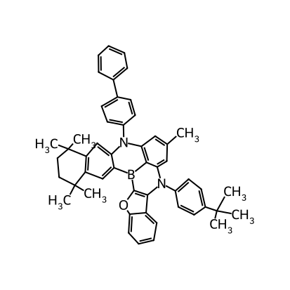 Cc1cc2c3c(c1)N(c1ccc(C(C)(C)C)cc1)c1c(oc4ccccc14)B3c1cc3c(cc1N2c1ccc(-c2ccccc2)cc1)C(C)(C)CCC3(C)C